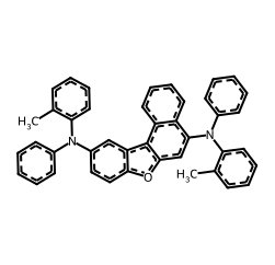 Cc1ccccc1N(c1ccccc1)c1ccc2oc3cc(N(c4ccccc4)c4ccccc4C)c4ccccc4c3c2c1